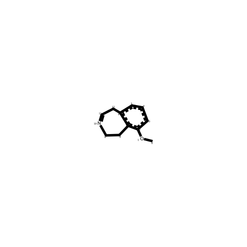 COc1cccc2c1CCN=CC2